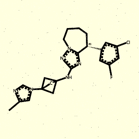 Cc1cn(C23CC(Nc4nc5n(n4)CCCC[C@@H]5c4cc(F)cc(Cl)c4)(C2)C3)cn1